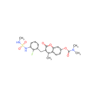 CNS(=O)(=O)Nc1cccc(Cc2c(C)c3ccc(OC(=O)N(C)C)cc3oc2=O)c1F